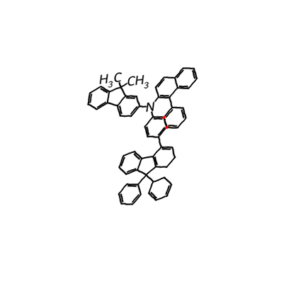 CC1(C)c2ccccc2-c2ccc(N(c3ccc(C4=CCCC5=C4c4ccccc4C5(c4ccccc4)C4C=CC=CC4)cc3)c3ccc4ccccc4c3-c3ccccc3)cc21